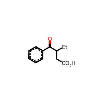 CCC(CC(=O)O)C(=O)c1ccccc1